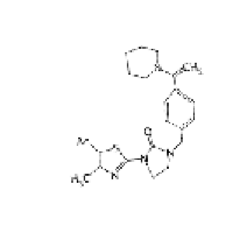 C=C(c1ccc(CN2CCN(C3=NC(C)C(C(C)=O)S3)C2=O)cc1)N1CCCCC1